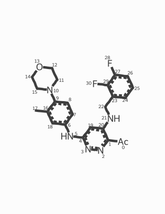 CC(=O)c1nnc(Nc2ccc(N3CCOCC3)c(C)c2)cc1NCc1cccc(F)c1F